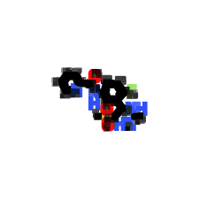 CC(=N)NC(CS(C)(=O)=O)c1cc(NC(=O)c2ccccn2)ccc1F